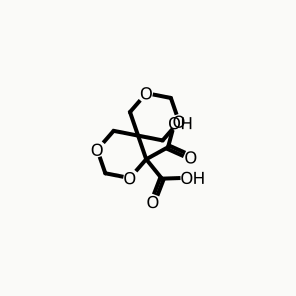 O=C(O)C1(C(=O)O)OCOCC12COCOC2